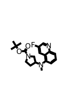 CN(c1cccc2ncc(F)cc12)C1CCN(C(=O)OC(C)(C)C)C1